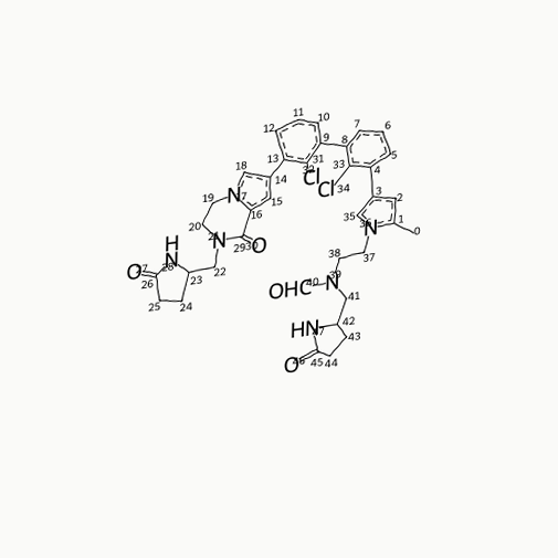 Cc1cc(-c2cccc(-c3cccc(-c4cc5n(c4)CCN(CC4CCC(=O)N4)C5=O)c3Cl)c2Cl)cn1CCN(C=O)CC1CCC(=O)N1